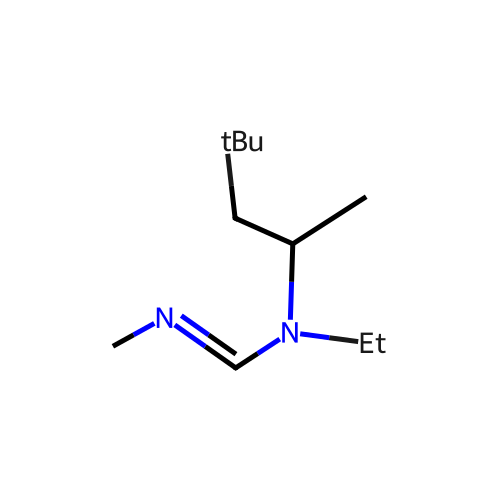 CCN(/C=N/C)C(C)CC(C)(C)C